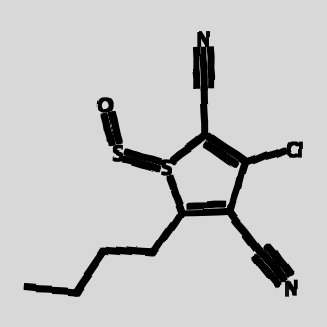 CCCCC1=C(C#N)C(Cl)=C(C#N)S1=S=O